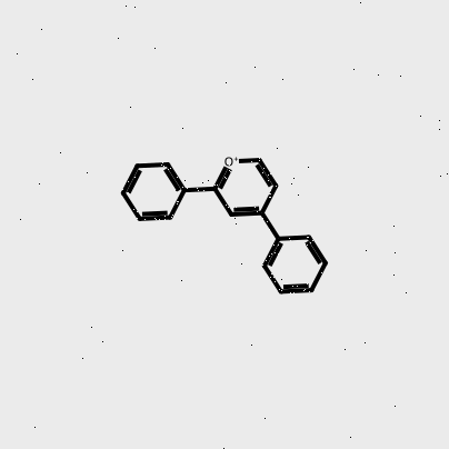 c1ccc(-c2cc[o+]c(-c3ccccc3)c2)cc1